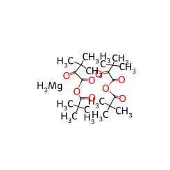 CC(C)(C)C(=O)OC(=O)C(=O)C(C)(C)C.CC(C)(C)C(=O)OC(=O)C(=O)C(C)(C)C.[MgH2]